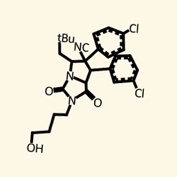 CC(C)(C)CC1N2C(=O)N(CCCCO)C(=O)C2C(c2cccc(Cl)c2)C1(C#N)c1ccc(Cl)cc1